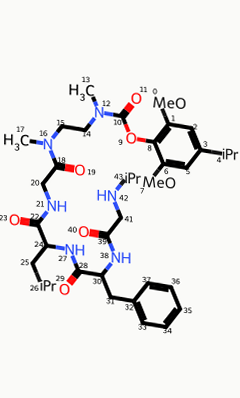 COc1cc(C(C)C)cc(OC)c1OC(=O)N(C)CCN(C)C(=O)CNC(=O)C(CC(C)C)NC(=O)C(Cc1ccccc1)NC(=O)CNC(C)C